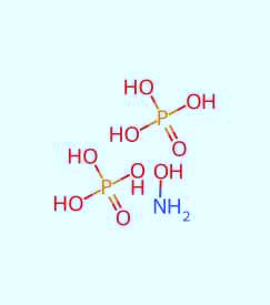 NO.O=P(O)(O)O.O=P(O)(O)O